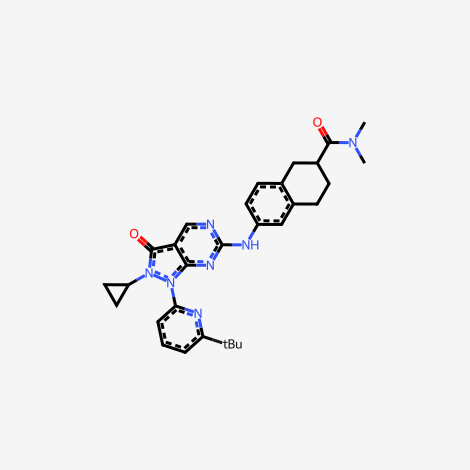 CN(C)C(=O)C1CCc2cc(Nc3ncc4c(=O)n(C5CC5)n(-c5cccc(C(C)(C)C)n5)c4n3)ccc2C1